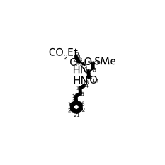 CCOC(=O)[C@H]1O[C@@H]1C(=O)N[C@@H](CCSC)C(=O)NCCCCc1ccccc1